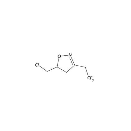 FC(F)(F)CC1=NOC(CCl)C1